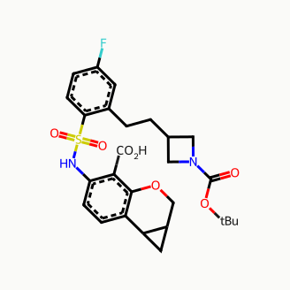 CC(C)(C)OC(=O)N1CC(CCc2cc(F)ccc2S(=O)(=O)Nc2ccc3c(c2C(=O)O)OCC2CC32)C1